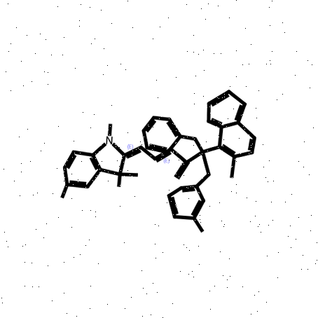 C=C(/C=C/C=C1/N(C)c2ccc(C)cc2C1(C)C)C(Cc1ccccc1)(Cc1cccc(C)c1)c1c(C)ccc2ccccc12